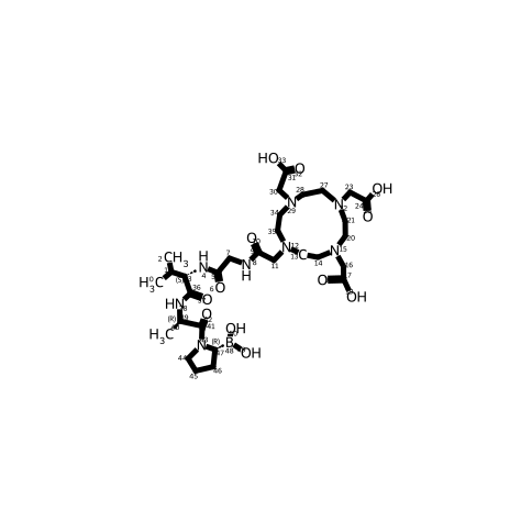 CC(C)[C@H](NC(=O)CNC(=O)CN1CCN(CC(=O)O)CCN(CC(=O)O)CCN(CC(=O)O)CC1)C(=O)N[C@H](C)C(=O)N1CCC[C@H]1B(O)O